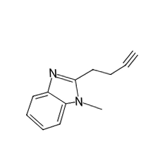 C#CCCc1nc2ccccc2n1C